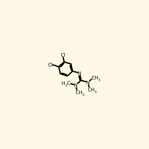 CN(C)C(=Nc1ccc(Cl)c(Cl)c1)N(C)C